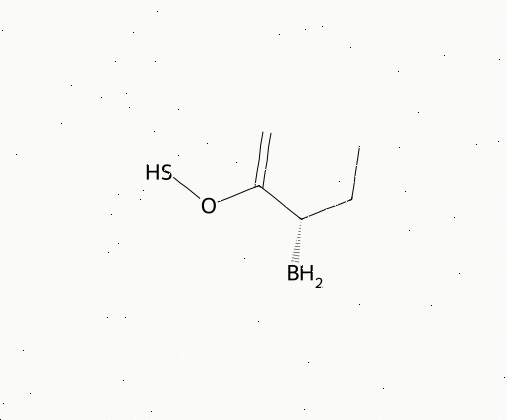 B[C@@H](CC)C(=C)OS